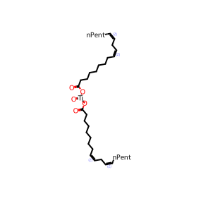 CCCCC/C=C\C/C=C\CCCCCCCC(=O)[O][Ti](=[O])[O]C(=O)CCCCCCC/C=C\C/C=C\CCCCC